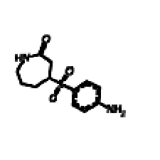 Nc1ccc(S(=O)(=O)C2CCCNC(=O)C2)cc1